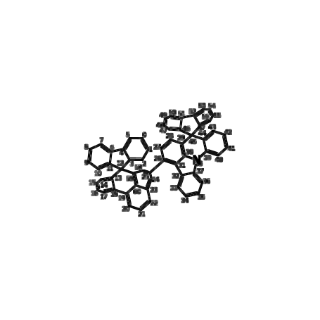 c1ccc2c(c1)-c1ccccc1C21c2ccccc2-c2cccc3cc(-c4ccc5c6c4c4ccccc4n6-c4ccccc4C54c5ccccc5-c5ccccc54)cc1c23